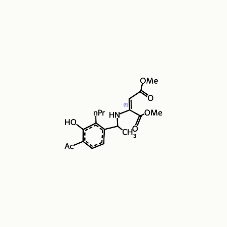 CCCc1c(C(C)N/C(=C/C(=O)OC)C(=O)OC)ccc(C(C)=O)c1O